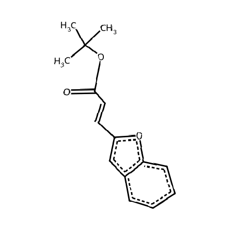 CC(C)(C)OC(=O)C=Cc1cc2ccccc2o1